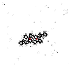 c1ccc([Si](c2ccccc2)(c2nccc3c2oc2c(-c4nccc5c4oc4ccccc45)cccc23)c2nccc3c2oc2c(-c4nccc5c4oc4ccccc45)cccc23)cc1